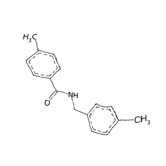 Cc1ccc(CNC(=O)c2ccc(C)cc2)cc1